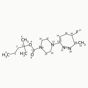 CCCC(C)(C)OC(=O)N1CCN(C2=CCC(F)C(C)N=N2)CC1